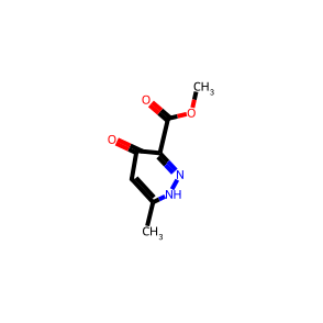 COC(=O)c1n[nH]c(C)cc1=O